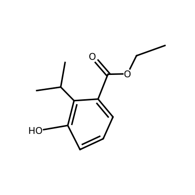 CCOC(=O)c1cccc(O)c1C(C)C